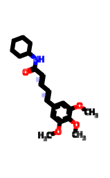 COc1cc(/C=C/C=C/C(=O)NC2CCCCC2)cc(OC)c1OC